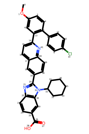 COc1ccc(-c2ccc(Cl)cc2)c(-c2ccc3cc(-c4nc5ccc(C(=O)O)cc5n4C4CCCCC4)ccc3n2)c1